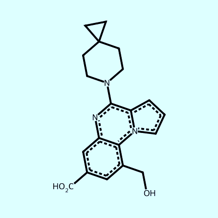 O=C(O)c1cc(CO)c2c(c1)nc(N1CCC3(CC1)CC3)c1cccn12